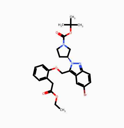 CCOC(=O)Cc1ccccc1OCc1c2cc(Br)ccc2nn1[C@H]1CCN(C(=O)OC(C)(C)C)C1